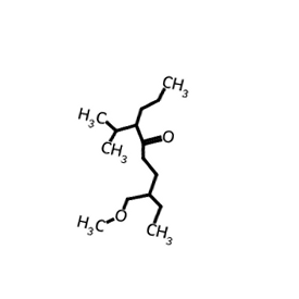 CCCC(C(=O)CCC(CC)COC)C(C)C